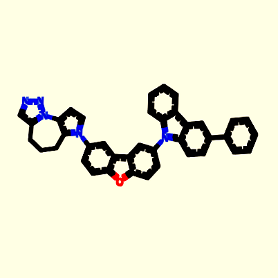 c1ccc(-c2ccc3c(c2)c2ccccc2n3-c2ccc3oc4ccc(-n5ccc6c5CCCc5cnnn5-6)cc4c3c2)cc1